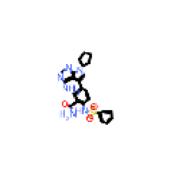 NC(=O)c1cc(-c2cn(C3CCCC3)c3ncnc(N)c23)ccc1NS(=O)(=O)c1ccccc1